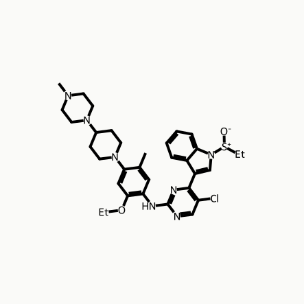 CCOc1cc(N2CCC(N3CCN(C)CC3)CC2)c(C)cc1Nc1ncc(Cl)c(-c2cn([S+]([O-])CC)c3ccccc23)n1